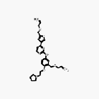 C=CCOCc1cc(-c2ccnc(Nc3ccc(OCCN4CCCC4)c(COCC=C)c3)n2)co1